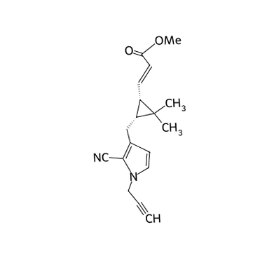 C#CCn1ccc(C[C@@H]2[C@H](C=CC(=O)OC)C2(C)C)c1C#N